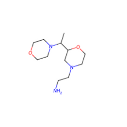 CC(C1CN(CCN)CCO1)N1CCOCC1